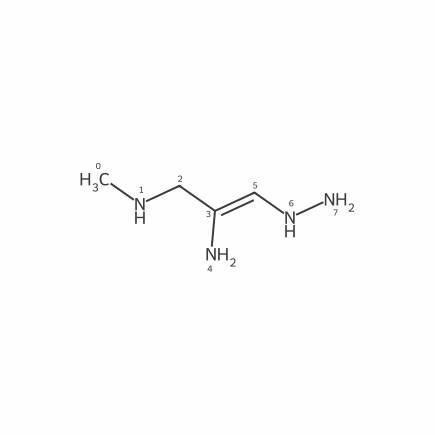 CNC/C(N)=C/NN